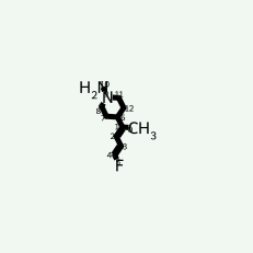 C/C(=C\C=C\F)C1CCN(N)CC1